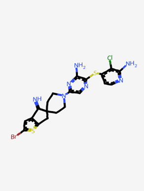 N=C1c2cc(Br)sc2CC12CCN(c1cnc(Sc3ccnc(N)c3Cl)c(N)n1)CC2